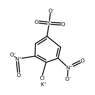 O=[N+]([O-])c1cc(S(=O)(=O)[O-])cc([N+](=O)[O-])c1Cl.[K+]